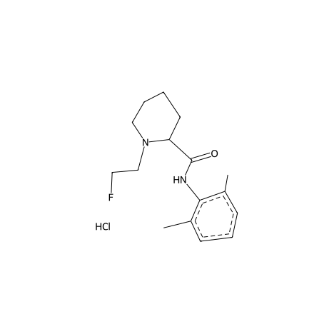 Cc1cccc(C)c1NC(=O)C1CCCCN1CCF.Cl